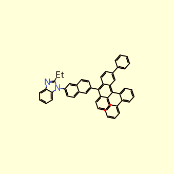 CCc1nc2ccccc2n1-c1ccc2cc(-c3c4ccccc4c(-c4ccccc4-c4ccccc4)c4cc(-c5ccccc5)ccc34)ccc2c1